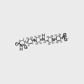 O=C1CCC(c2ccc(N3CCC(NCC4CCN(c5ccc([N+](=O)[O-])cc5)CC4)CC3)cc2)C(=O)N1